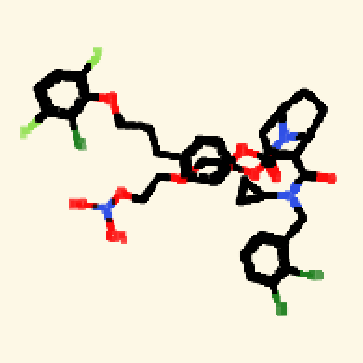 O=C(C1=C(Oc2ccc(CCCOc3c(F)ccc(F)c3Cl)cc2)CC2CCC1N2C(=O)OCCOCCON(O)O)N(Cc1cccc(Cl)c1Cl)C1CC1